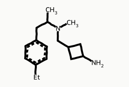 CCc1ccc(CC(C)N(C)CC2CC(N)C2)cc1